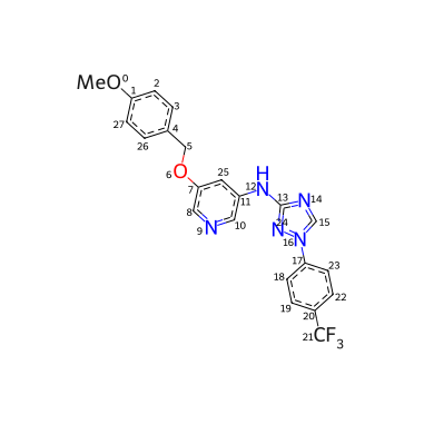 COc1ccc(COc2cncc(Nc3ncn(-c4ccc(C(F)(F)F)cc4)n3)c2)cc1